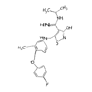 Cc1cc(Nc2snc(O)c2C(=N)NC(C)C)ccc1Oc1ccc(F)cc1